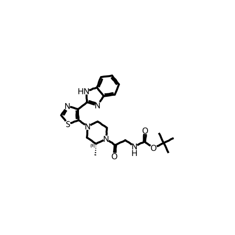 C[C@@H]1CN(c2scnc2-c2nc3ccccc3[nH]2)CCN1C(=O)CNC(=O)OC(C)(C)C